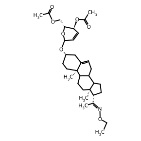 CCO/N=C(\C)[C@H]1CCC2C3CC=C4C[C@@H](OC5C=C[C@H](OC(C)=O)[C@@H](COC(C)=O)O5)CC[C@]4(C)C3CC[C@@]21C